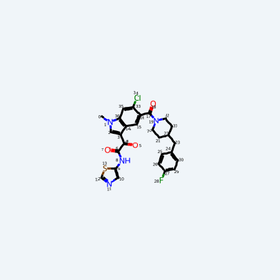 Cn1cc(C(=O)C(=O)NC2CN=CS2)c2cc(C(=O)N3CCC(Cc4ccc(F)cc4)CC3)c(Cl)cc21